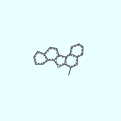 Cc1cc2ccccc2c2c1oc1c3ccccc3ccc12